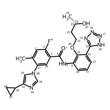 Cc1cc(F)c(C(=O)Nc2cccc(-c3nnn[nH]3)c2OCC[C@H](C)O)cc1-n1cnc(C2CC2)c1